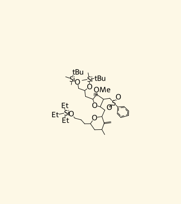 C=C1C(C)CC(CCCO[Si](CC)(CC)CC)OC1CC1OC(CC(CO[Si](C)(C)C(C)(C)C)O[Si](C)(C)C(C)(C)C)[C@H](OC)C1CS(=O)(=O)c1ccccc1